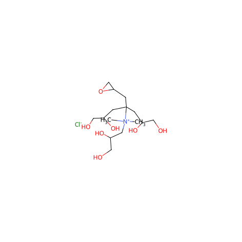 C[N+](C)(CC(O)CO)C(CC(O)CO)(CC(O)CO)CC1CO1.[Cl-]